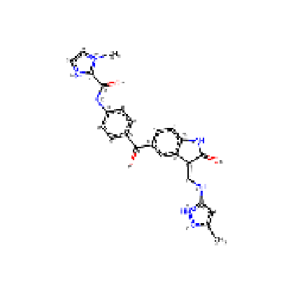 Cc1cc(N/C=C2\C(=O)Nc3ccc(C(=O)c4ccc(NC(=O)c5nccn5C)cc4)cc32)[nH]n1